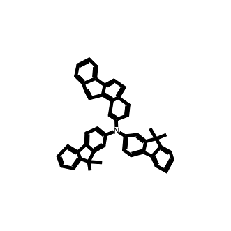 CC1(C)c2ccccc2-c2ccc(N(c3ccc4c(c3)C(C)(C)c3ccccc3-4)c3ccc4ccc5c6ccccc6ccc5c4c3)cc21